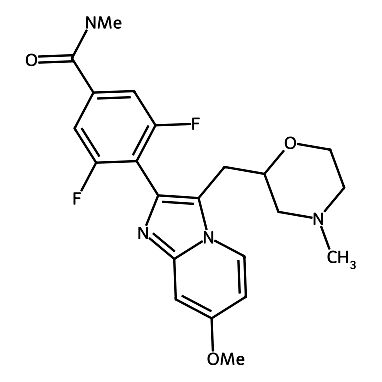 CNC(=O)c1cc(F)c(-c2nc3cc(OC)ccn3c2CC2CN(C)CCO2)c(F)c1